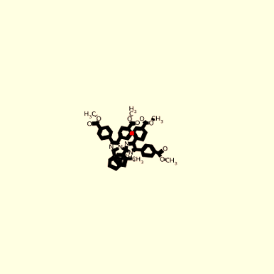 COC(=O)c1ccc(C2=NC(c3ccccc3C)(n3c(-c4ccccc4C)nc(-c4ccc(C(=O)OC)cc4)c3-c3ccc(C(=O)OC)cc3)N=C2c2ccc(C(=O)OC)cc2)cc1